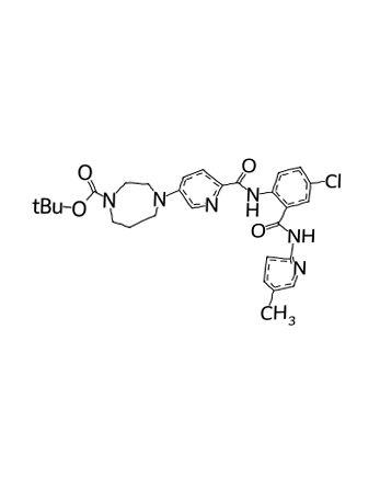 Cc1ccc(NC(=O)c2cc(Cl)ccc2NC(=O)c2ccc(N3CCCN(C(=O)OC(C)(C)C)CC3)cn2)nc1